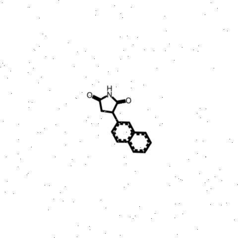 O=C1CC(c2ccc3ccccc3c2)C(=O)N1